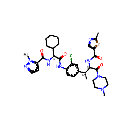 CCn1nccc1C(=O)N[C@H](C(=O)Nc1ccc([C@H](C)[C@@H](NC(=O)c2cnc(C)s2)C(=O)N2CCN(C)CC2)cc1F)C1CCCCC1